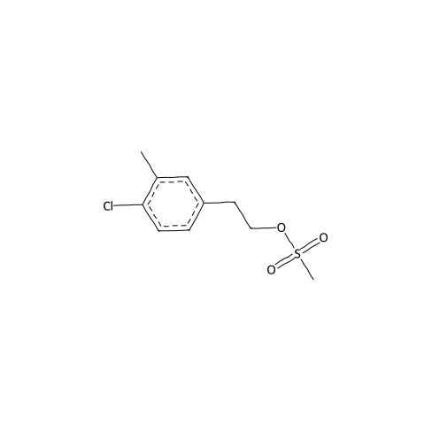 Cc1cc(CCOS(C)(=O)=O)ccc1Cl